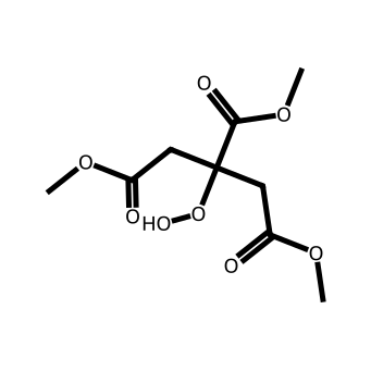 COC(=O)CC(CC(=O)OC)(OO)C(=O)OC